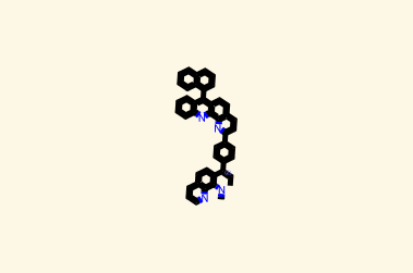 C=Nc1c(/C(=C\C)c2ccc(-c3ccc4ccc5c(-c6cccc7ccccc67)c6ccccc6nc5c4n3)cc2)ccc2cccnc12